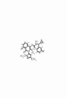 Cc1cc(-n2c(C)c(OC(=O)N[C@H](c3cccc(F)c3)C3CC3)c3cccc(F)c3c2=O)n(C)n1